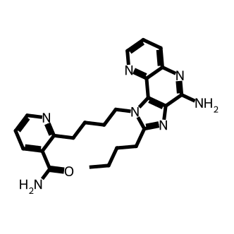 CCCCc1nc2c(N)nc3cccnc3c2n1CCCCc1ncccc1C(N)=O